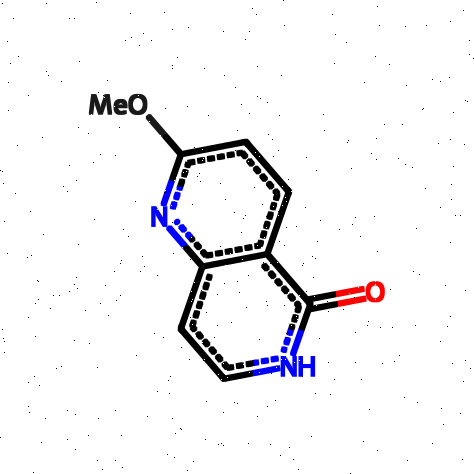 COc1ccc2c(=O)[nH]ccc2n1